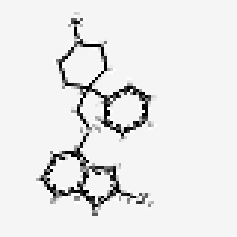 CC(=O)N1CCC(CNc2cccc3nc(C(F)(F)F)cn23)(c2ccccc2)CC1